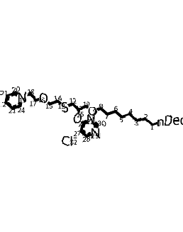 CCCCCCCCCCCCCCCCCCOCC(CSCCOCC[n+]1ccccc1)Oc1ccncn1.[Cl-]